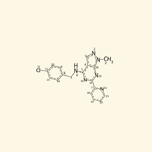 Cn1ncc2c(NCc3ccc(Cl)cc3)nc(-c3ccccn3)nc21